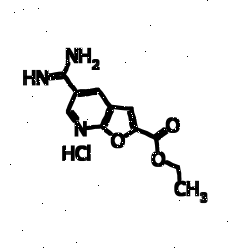 CCOC(=O)c1cc2cc(C(=N)N)cnc2o1.Cl